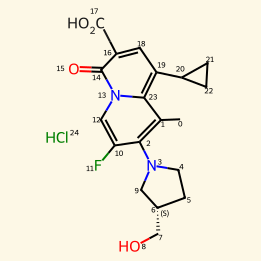 Cc1c(N2CC[C@H](CO)C2)c(F)cn2c(=O)c(C(=O)O)cc(C3CC3)c12.Cl